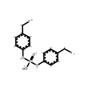 O=P(O)(Oc1ccc(CF)cc1)Oc1ccc(CF)cc1